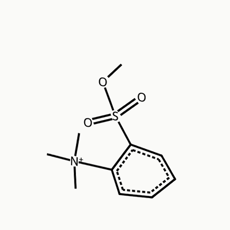 COS(=O)(=O)c1ccccc1[N+](C)(C)C